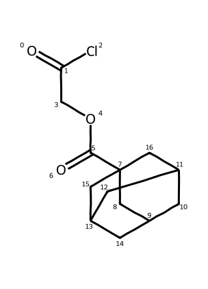 O=C(Cl)COC(=O)C12CC3CC(CC(C3)C1)C2